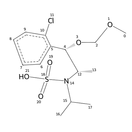 COCO[C@@H](c1ccccc1Cl)[C@H](C)N(C(C)C)S(=O)(=O)O